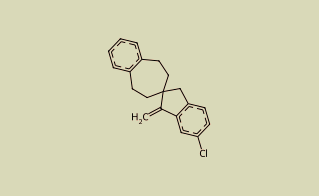 C=C1c2cc(Cl)ccc2CC12CCc1ccccc1CC2